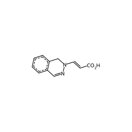 O=C(O)C=CN1Cc2ccccc2C=N1